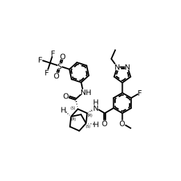 CCn1cc(-c2cc(C(=O)N[C@@H]3[C@H]4CC[C@H](C4)[C@@H]3C(=O)Nc3cccc(S(=O)(=O)C(F)(F)F)c3)c(OC)cc2F)cn1